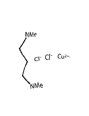 CNCCCNC.[Cl-].[Cl-].[Cu+2]